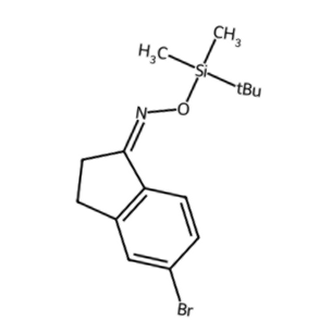 CC(C)(C)[Si](C)(C)O/N=C1/CCc2cc(Br)ccc21